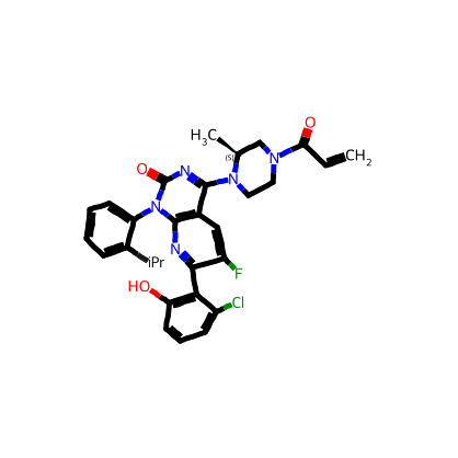 C=CC(=O)N1CCN(c2nc(=O)n(-c3ccccc3C(C)C)c3nc(-c4c(O)cccc4Cl)c(F)cc23)[C@@H](C)C1